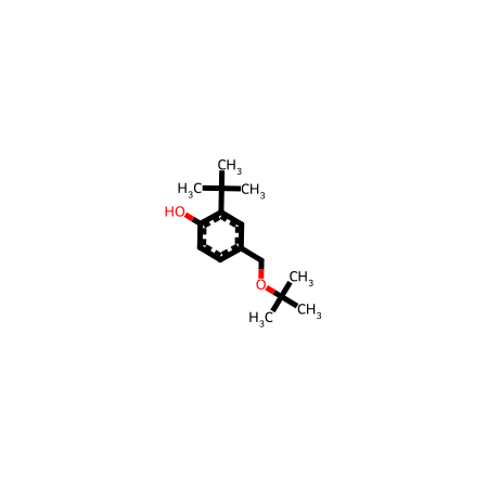 CC(C)(C)OCc1ccc(O)c(C(C)(C)C)c1